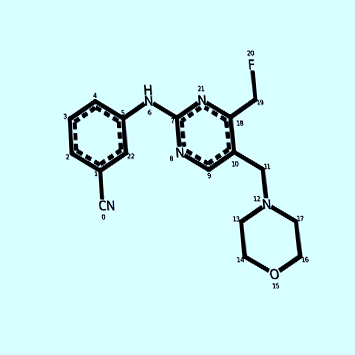 N#Cc1cccc(Nc2ncc(CN3CCOCC3)c(CF)n2)c1